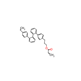 C=CC(=O)OCCCc1ccc(-c2ccccc2-c2ccccc2-c2ccc(C=C)cc2)cc1